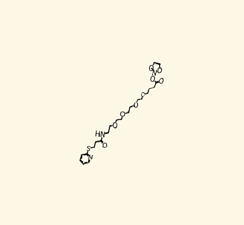 O=C(CCSc1ccccn1)NCCOCCOCCOCCOCCCC(=O)ON1OCCO1